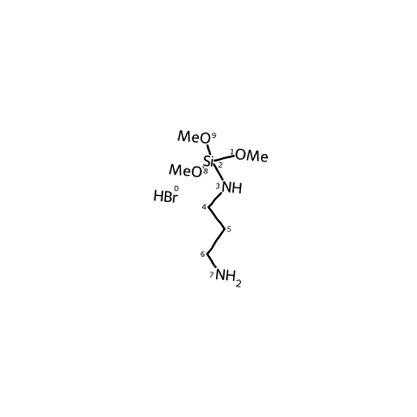 Br.CO[Si](NCCCN)(OC)OC